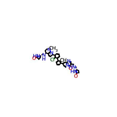 Cc1c(-c2ccn3c(=O)c(CNC[C@@H]4CCC(=O)N4)cnc3c2)cccc1-c1cccc(-c2ccc3c(n2)N(C)CC[C@@H]3NC[C@@H]2CCC(=O)N2)c1Cl